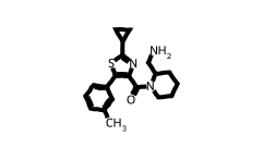 Cc1cccc(-c2sc(C3CC3)nc2C(=O)N2CCCCC2CN)c1